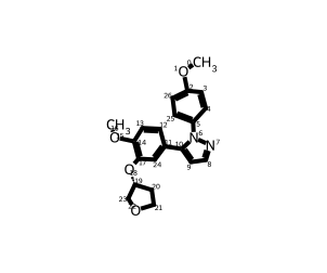 COc1ccc(-n2nccc2-c2ccc(OC)c(O[C@@H]3CCOC3)c2)cc1